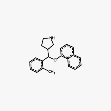 Cc1ccccc1C(Oc1cccc2ccccc12)C1CCNC1